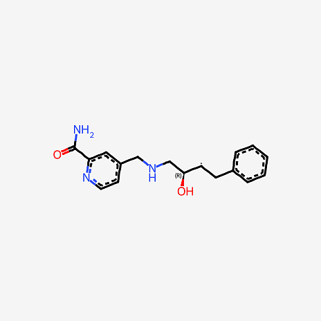 NC(=O)c1cc(CNC[C@H](O)[CH]Cc2ccccc2)ccn1